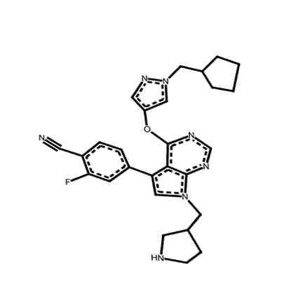 N#Cc1ccc(-c2cn(CC3CCNC3)c3ncnc(Oc4cnn(CC5CCCC5)c4)c23)cc1F